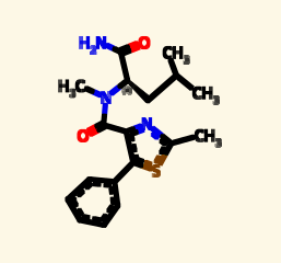 Cc1nc(C(=O)N(C)[C@H](CC(C)C)C(N)=O)c(-c2ccccc2)s1